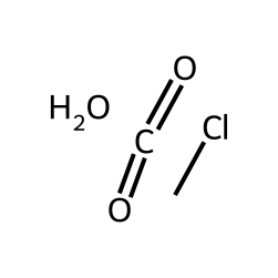 CCl.O.O=C=O